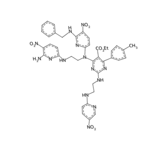 CCOC(=O)c1c(-c2ccc(C)cc2)nc(NCCNc2ccc([N+](=O)[O-])cn2)nc1N(CCNc1ccc([N+](=O)[O-])c(N)n1)c1ccc([N+](=O)[O-])c(NCc2ccccc2)n1